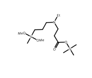 CCN(CCC[Si](C)(OC)OC)CCC(=O)O[Si](C)(C)C